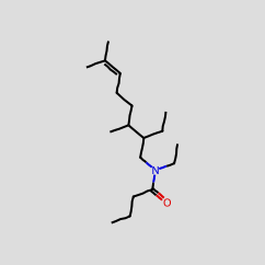 CCCC(=O)N(CC)CC(CC)C(C)CCC=C(C)C